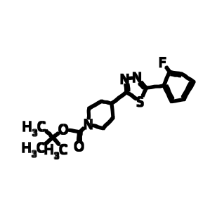 CC(C)(C)OC(=O)N1CCC(c2nnc(-c3ccccc3F)s2)CC1